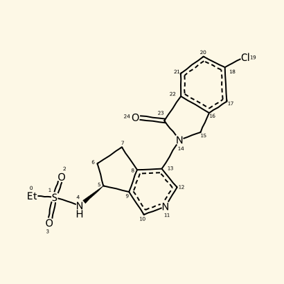 CCS(=O)(=O)N[C@H]1CCc2c1cncc2N1Cc2cc(Cl)ccc2C1=O